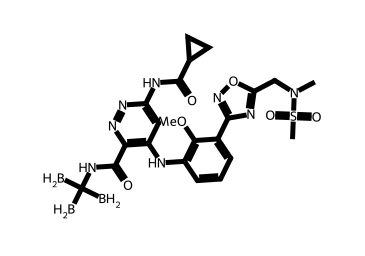 BC(B)(B)NC(=O)c1nnc(NC(=O)C2CC2)cc1Nc1cccc(-c2noc(CN(C)S(C)(=O)=O)n2)c1OC